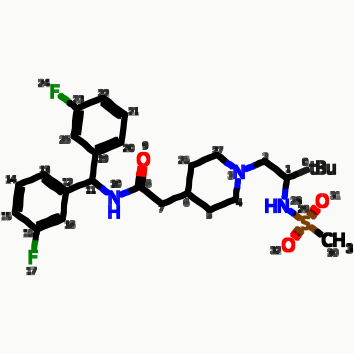 CC(C)(C)C(CN1CCC(CC(=O)NC(c2cccc(F)c2)c2cccc(F)c2)CC1)NS(C)(=O)=O